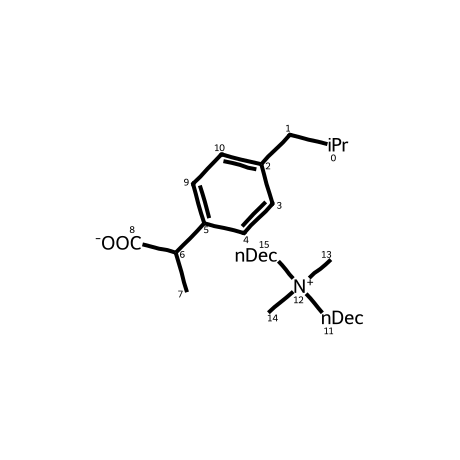 CC(C)Cc1ccc(C(C)C(=O)[O-])cc1.CCCCCCCCCC[N+](C)(C)CCCCCCCCCC